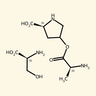 C[C@H](N)C(=O)OC1CN[C@H](C(=O)O)C1.N[C@@H](CO)C(=O)O